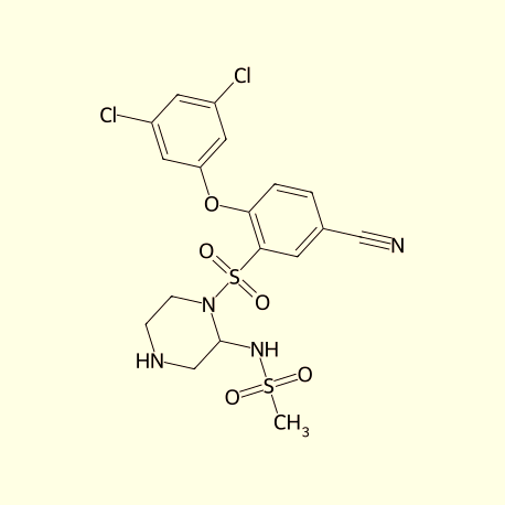 CS(=O)(=O)NC1CNCCN1S(=O)(=O)c1cc(C#N)ccc1Oc1cc(Cl)cc(Cl)c1